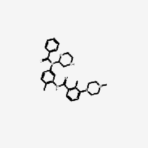 Cc1ccc(N(C(=O)c2ccccc2)C2CNCCO2)cc1NC(=O)c1cccc(N2CCN(C)CC2)c1C